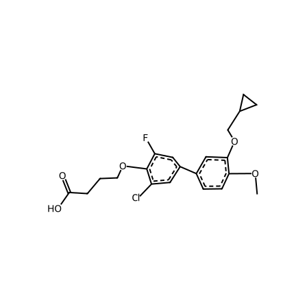 COc1ccc(-c2cc(F)c(OCCCC(=O)O)c(Cl)c2)cc1OCC1CC1